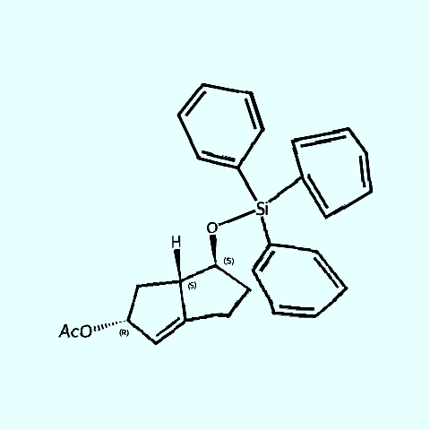 CC(=O)O[C@H]1C=C2CC[C@H](O[Si](c3ccccc3)(c3ccccc3)c3ccccc3)[C@H]2C1